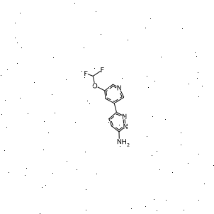 Nc1ccc(-c2cncc(OC(F)F)c2)nn1